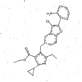 CCOC(=O)c1c(C2CC2)nc(CC)n1Cc1ccc2oc(-c3ccccc3N)c(Cl)c2c1